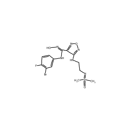 CS(C)(=O)=NCCNc1nonc1/C(=N/O)Nc1ccc(F)c(Br)c1